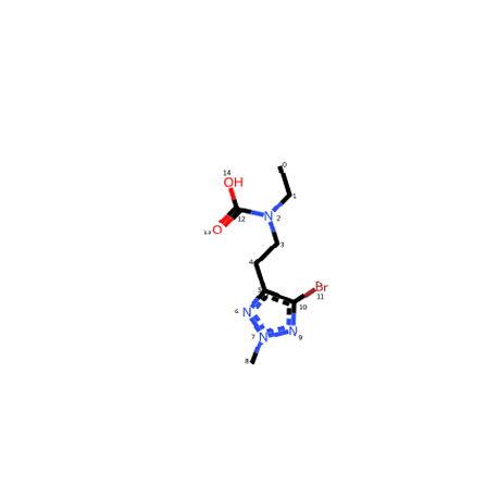 CCN(CCc1nn(C)nc1Br)C(=O)O